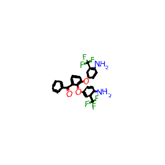 Nc1ccc(Oc2cccc(C(=O)c3ccccc3)c2Oc2ccc(N)c(C(F)(F)F)c2)cc1C(F)(F)F